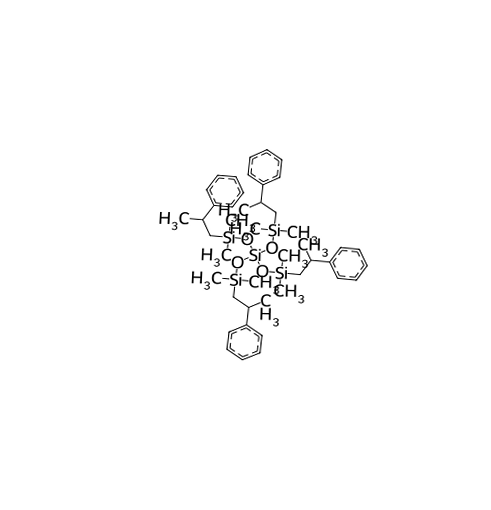 CC(C[Si](C)(C)O[Si](O[Si](C)(C)CC(C)c1ccccc1)(O[Si](C)(C)CC(C)c1ccccc1)O[Si](C)(C)CC(C)c1ccccc1)c1ccccc1